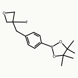 CC1(C)OB(c2ccc(CC3(F)COC3)cc2)OC1(C)C